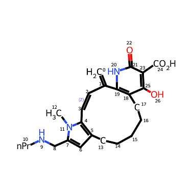 C=C1/C=C\c2c(cc(CNCCC)n2C)CCCCCc2c1[nH]c(=O)c(C(=O)O)c2O